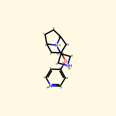 c1cc(OC2CC3CCC(C2)N3C2CNC2)ccn1